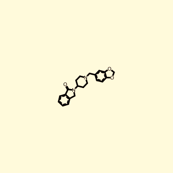 O=C1c2ccccc2CN1C1CCN(Cc2ccc3c(c2)OCO3)CC1